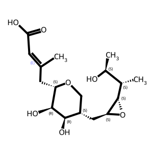 C/C(=C\C(=O)O)C[C@@H]1OC[C@H](C[C@@H]2O[C@H]2[C@@H](C)[C@H](C)O)[C@@H](O)[C@H]1O